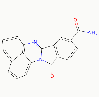 NC(=O)c1ccc2c(c1)C1=Nc3cccc4cccc(c34)N1C2=O